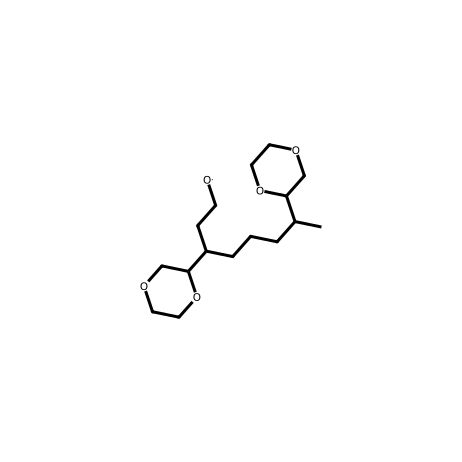 CC(CCCC(CC[O])C1COCCO1)C1COCCO1